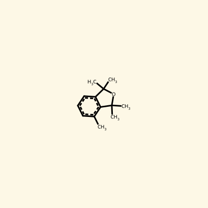 Cc1cccc2c1C(C)(C)OC2(C)C